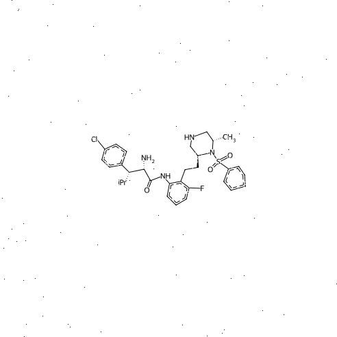 CC(C)[C@H](c1ccc(Cl)cc1)[C@H](N)C(=O)Nc1cccc(F)c1CC[C@H]1CNC[C@H](C)N1S(=O)(=O)c1ccccc1